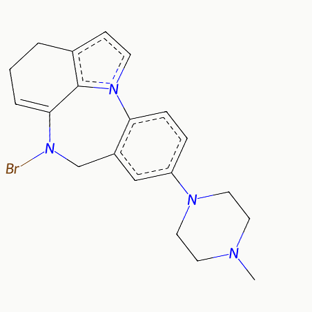 CN1CCN(c2ccc3c(c2)CN(Br)C2=CCCc4ccn-3c42)CC1